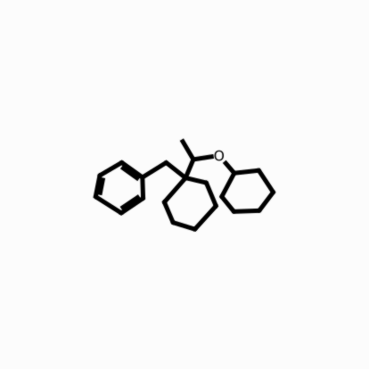 CC(OC1CCCCC1)C1(Cc2ccccc2)CCCCC1